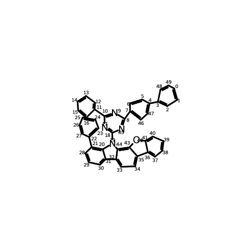 c1ccc(-c2ccc(-c3nc(-c4ccccc4)nc(-n4c5c(-c6ccccc6)cccc5c5ccc6c7ccccc7oc6c54)n3)cc2)cc1